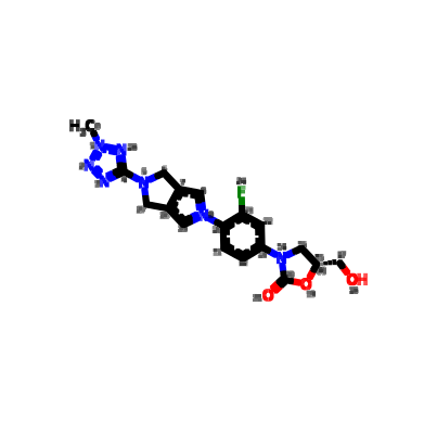 Cn1nnc(N2Cc3cn(-c4ccc(N5C[C@H](CO)OC5=O)cc4F)cc3C2)n1